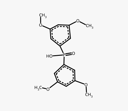 COc1cc(OC)cc(P(=O)(O)c2cc(OC)cc(OC)c2)c1